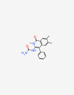 Cc1cc2c(-c3ccccc3)c(NC(N)=O)n(C)c(=O)c2cc1C